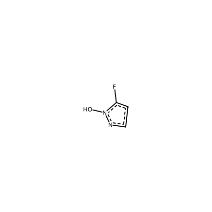 On1nccc1F